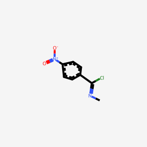 CN=C(Cl)c1ccc([N+](=O)[O-])cc1